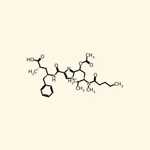 CCCCC(=O)N(C)[C@H](CC(OC(C)=O)c1nc(C(=O)N[C@@H](Cc2ccccc2)C[C@H](C)C(=O)O)cs1)C(C)C